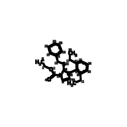 CCOC(=O)N1C=CN(c2c(CC)cccc2CC)C1SCc1ccccc1